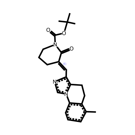 Cc1cccc2c1CCc1c(/C=C3\CCCN(C(=O)OC(C)(C)C)C3=O)ncn1-2